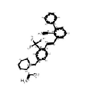 C=C(O)[C@@H]1CCCCN1Cc1ccc(/C=C/c2cccc(-c3ccccc3)c2C#N)c(C(F)(F)F)c1